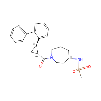 CS(=O)(=O)N[C@H]1CCCN(C(=O)[C@@H]2C[C@H]2c2ccccc2-c2ccccc2)CC1